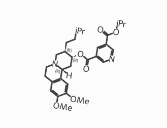 COc1cc2c(cc1OC)[C@H]1C[C@@H](OC(=O)c3cncc(C(=O)OC(C)C)c3)[C@H](CCC(C)C)CN1CC2